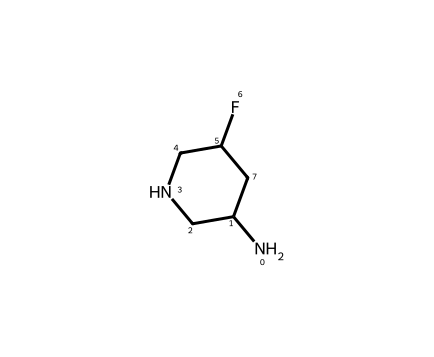 NC1CNCC(F)C1